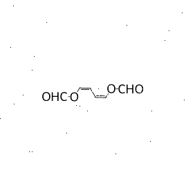 O=CO/C=C\C=C/OC=O